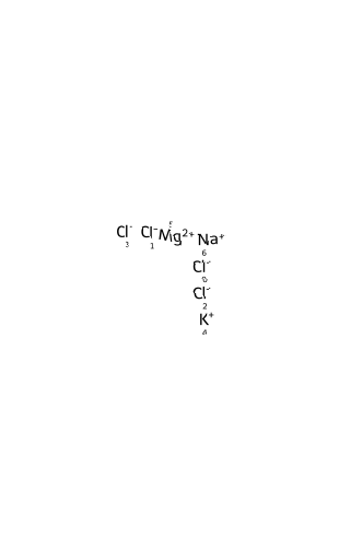 [Cl-].[Cl-].[Cl-].[Cl-].[K+].[Mg+2].[Na+]